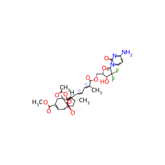 COC(=O)C1=CC[C@@]23CC[C@@H]([C@@](C)(/C=C/C=C(\C)C(=O)OCC4O[C@@H](n5ccc(N)nc5=O)C(F)(F)C4O)OC2=O)[C@@]3(OC(C)=O)CC1